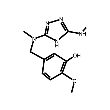 CNc1nnc(N(C)Cc2ccc(OC)c(O)c2)[nH]1